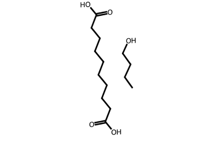 CCCCO.O=C(O)CCCCCCCCC(=O)O